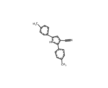 Cc1ccc(-c2cc(C#N)c(-c3ccc(C)cc3)[nH]2)cc1